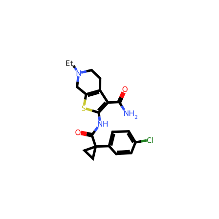 CCN1CCc2c(sc(NC(=O)C3(c4ccc(Cl)cc4)CC3)c2C(N)=O)C1